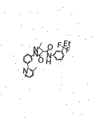 CCC(F)(F)c1cccc(NC(=O)C2C(=O)N(c3cccc(-c4ncccc4C)c3)N=C2C)c1